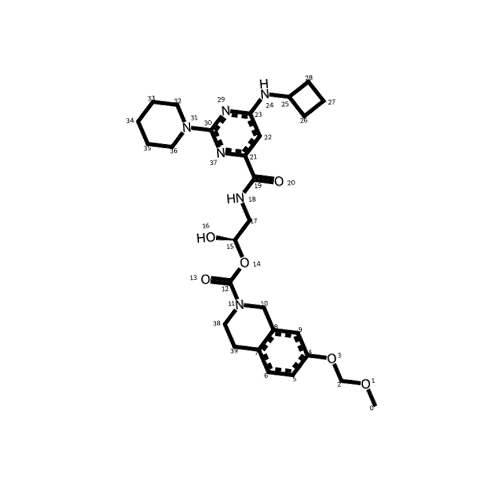 COCOc1ccc2c(c1)CN(C(=O)O[C@@H](O)CNC(=O)c1cc(NC3CCC3)nc(N3CCCCC3)n1)CC2